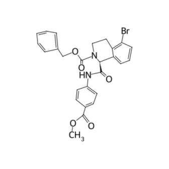 COC(=O)c1ccc(NC(=O)[C@@H]2c3cccc(Br)c3CCN2C(=O)OCc2ccccc2)cc1